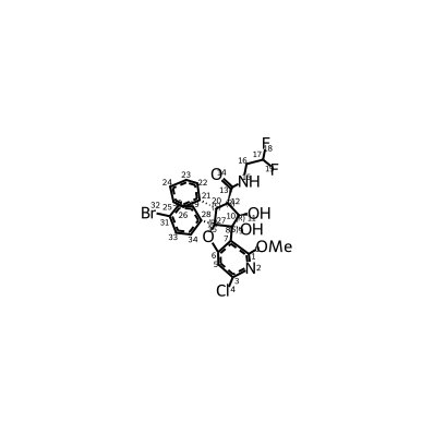 COc1nc(Cl)cc2c1[C@]1(O)[C@H](O)[C@H](C(=O)NCC(F)F)[C@@H](c3ccccc3)[C@]1(c1ccc(Br)cc1)O2